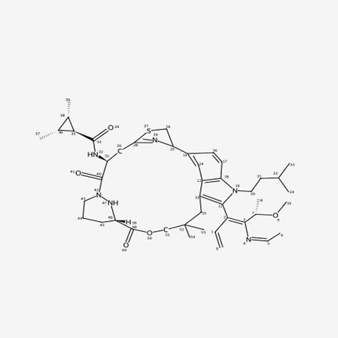 C=C/C(=C(\N=C/C)[C@H](C)OC)c1c2c3cc(ccc3n1CCC(C)C)C1CSC(=N1)C[C@H](NC(=O)[C@H]1[C@H](C)[C@@H]1C)C(=O)N1CCC[C@H](N1)C(=O)OCC(C)(C)C2